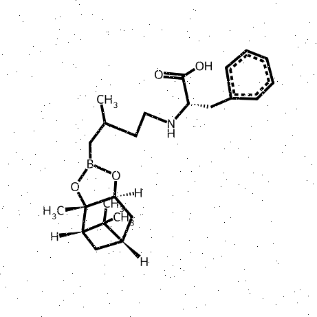 CC(CCN[C@@H](Cc1ccccc1)C(=O)O)CB1O[C@H]2C[C@@H]3C[C@@H](C3(C)C)[C@]2(C)O1